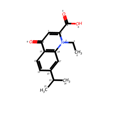 CCn1c(C(=O)O)cc(=O)c2ccc(C(C)C)cc21